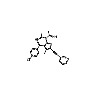 C=C(c1ccc(Cl)cc1)c1c(N(C(C)=N)C(C)=N)sc(C#Cc2cccnc2)c1C